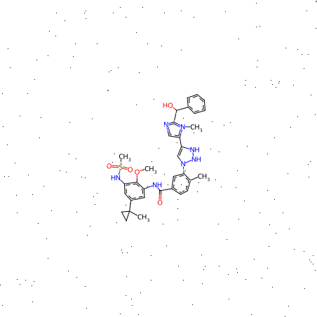 COc1c(NC(=O)c2ccc(C)c(N3C=C(c4cnc(C(O)c5ccccc5)n4C)NN3)c2)cc(C2(C)CC2)cc1NS(C)(=O)=O